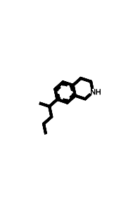 CCCC(C)c1ccc2c(c1)CNCC2